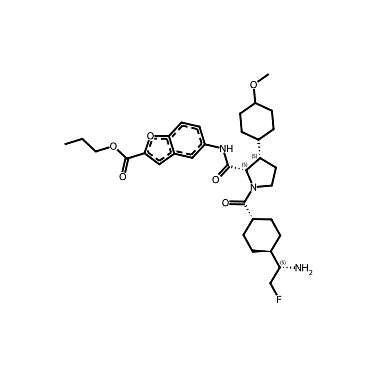 CCCOC(=O)c1cc2cc(NC(=O)[C@@H]3[C@H](C4CCC(OC)CC4)CCN3C(=O)[C@H]3CC[C@H]([C@H](N)CF)CC3)ccc2o1